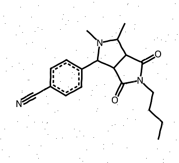 CCCCN1C(=O)C2C(C1=O)C(c1ccc(C#N)cc1)N(C)C2C